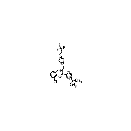 CC(C)n1cnc(C(=O)N(Cc2cccc(Cl)c2)CC2C3CN(CCC(F)(F)F)CC32)c1